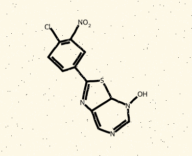 O=[N+]([O-])c1cc(C2=NC3=CN=CN(O)C3S2)ccc1Cl